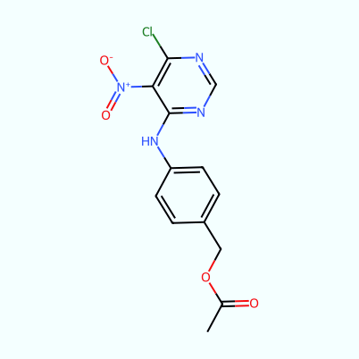 CC(=O)OCc1ccc(Nc2ncnc(Cl)c2[N+](=O)[O-])cc1